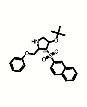 CC(C)(C)OC1CNC(COc2ccccc2)[C@@H]1S(=O)(=O)c1ccc2ccccc2c1